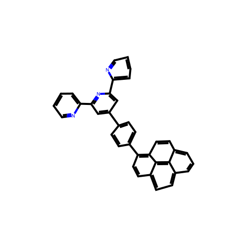 c1ccc(-c2cc(-c3ccc(-c4ccc5ccc6cccc7ccc4c5c67)cc3)cc(-c3ccccn3)n2)nc1